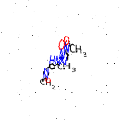 C=CC(=O)N1CCN(Cc2ccc([C@H](C)Nc3nccc(N4C(=O)OCC4C)n3)cc2)CC1